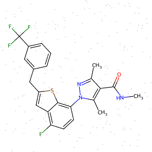 CNC(=O)c1c(C)nn(-c2ccc(F)c3cc(Cc4cccc(C(F)(F)F)c4)sc23)c1C